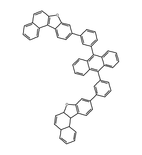 C1=CC2C=CC3Oc4cc(-c5cccc(-c6c7ccccc7c(-c7cccc(-c8ccc9c(c8)oc8ccc%10ccccc%10c89)c7)c7ccccc67)c5)ccc4C3C2C=C1